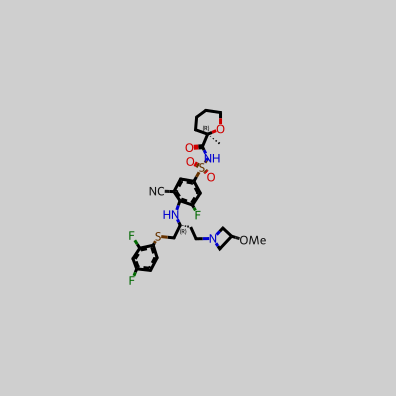 COC1CN(CC[C@H](CSc2ccc(F)cc2F)Nc2c(F)cc(S(=O)(=O)NC(=O)[C@@]3(C)CCCCO3)cc2C#N)C1